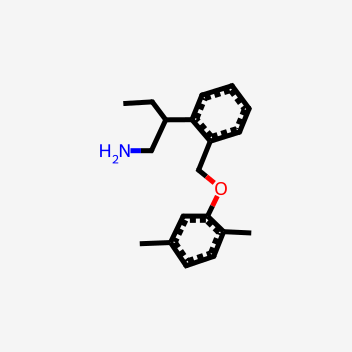 CCC(CN)c1ccccc1COc1cc(C)ccc1C